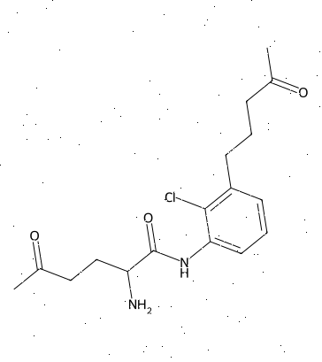 CC(=O)CCCc1cccc(NC(=O)C(N)CCC(C)=O)c1Cl